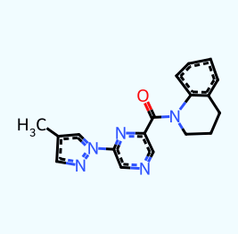 Cc1cnn(-c2cncc(C(=O)N3CCCc4ccccc43)n2)c1